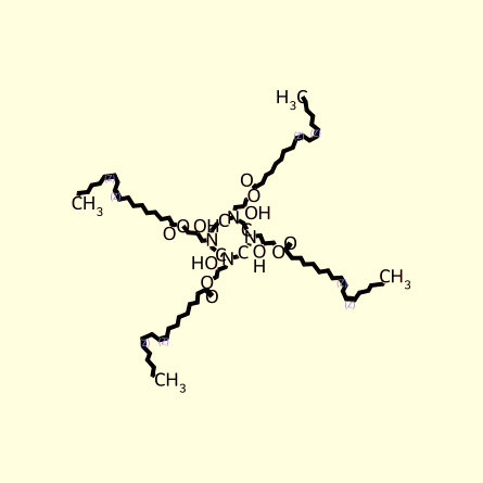 CCCCC/C=C\C/C=C\CCCCCCCC(=O)OCC(O)CN1CCCN(CC(O)COC(=O)CCCCCCC/C=C\C/C=C\CCCCC)CCN(CC(O)COC(=O)CCCCCCC/C=C\C/C=C\CCCCC)CCCN(CC(O)COC(=O)CCCCCCC/C=C\C/C=C\CCCCC)CC1